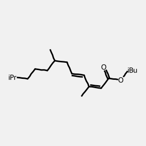 CCC(C)OC(=O)C=C(C)C=CCC(C)CCCC(C)C